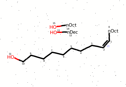 CCCCCCCC/C=C\CCCCCCCCO.CCCCCCCCCCO.CCCCCCCCO